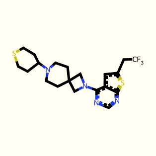 FC(F)(F)Cc1cc2c(N3CC4(CCN(C5CCSCC5)CC4)C3)ncnc2s1